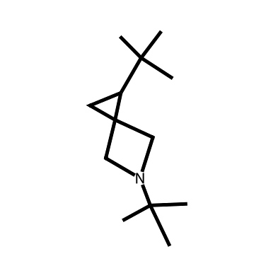 CC(C)(C)C1CC12CN(C(C)(C)C)C2